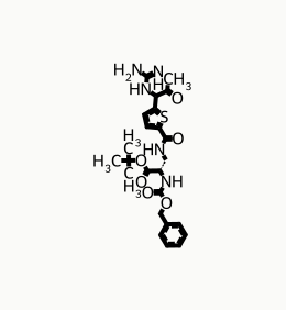 CC(=O)C(NC(=N)N)c1ccc(C(=O)NC[C@H](NC(=O)OCc2ccccc2)C(=O)OC(C)(C)C)s1